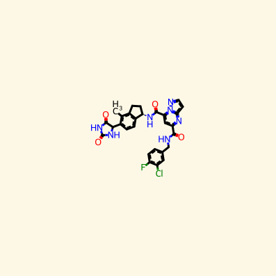 Cc1c(C2NC(=O)NC2=O)ccc2c1CC[C@@H]2NC(=O)c1cc(C(=O)NCc2ccc(F)c(Cl)c2)nc2ccnn12